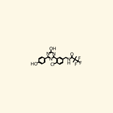 CC(C)(C(=O)NCc1ccc(Cl)c(-c2nc(O)nc(-c3ccc(O)cc3)n2)c1)C(F)(F)F